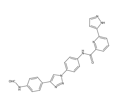 O=CNc1ccc(-c2cn(-c3ccc(NC(=O)c4cccc(-c5ccn[nH]5)n4)cc3)nn2)cc1